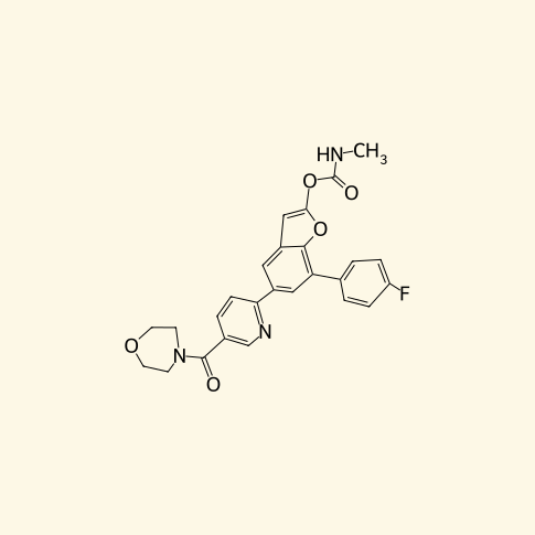 CNC(=O)Oc1cc2cc(-c3ccc(C(=O)N4CCOCC4)cn3)cc(-c3ccc(F)cc3)c2o1